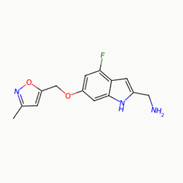 Cc1cc(COc2cc(F)c3cc(CN)[nH]c3c2)on1